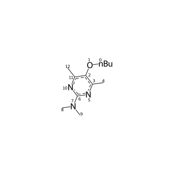 CCCCOc1c(C)nc(N(C)C)nc1C